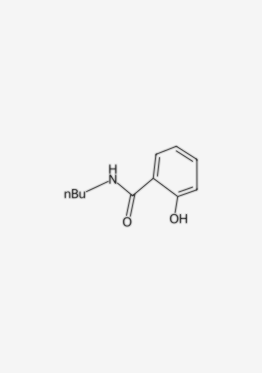 CCCCNC(=O)c1ccccc1O